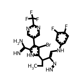 CCC(/C(=C/Nc1ccc(F)c(F)c1)N=N)c1[nH]c(C(=N)N)c(-c2cnc(C(F)(F)F)nc2)c1Br